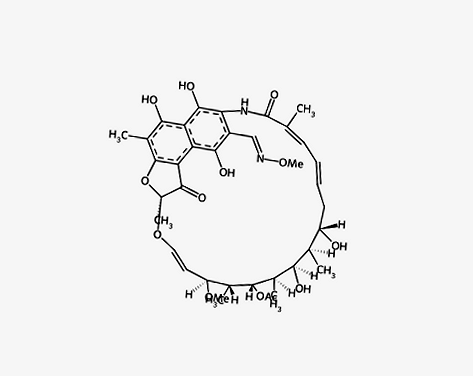 CO/N=C/c1c2c(O)c3c(O)c(C)c4c(c3c1O)C(=O)[C@@](C)(O/C=C/[C@H](OC)[C@@H](C)[C@@H](OC(C)=O)[C@H](C)[C@H](O)[C@H](C)[C@@H](O)C/C=C/C=C(/C)C(=O)N2)O4